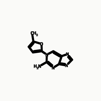 Cc1ccc(-n2cc3ncnc-3nc2N)o1